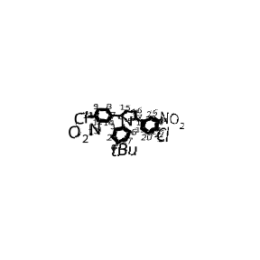 CC(C)(C)c1ccc(N2C(c3ccc(Cl)c([N+](=O)[O-])c3)CCC2c2ccc(Cl)c([N+](=O)[O-])c2)cc1